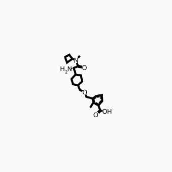 Cc1c(COCC2CCC([C@H](N)C(=O)N(C)C3CCC3)CC2)cccc1C(=O)O